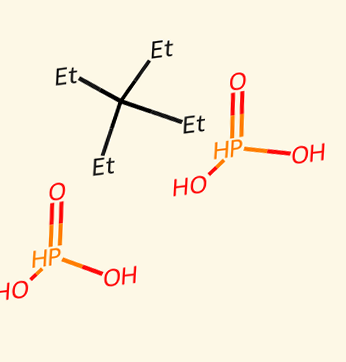 CCC(CC)(CC)CC.O=[PH](O)O.O=[PH](O)O